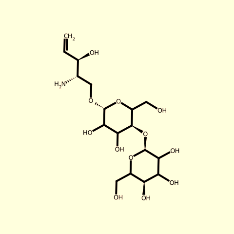 C=C[C@@H](O)[C@@H](N)CO[C@@H]1OC(CO)[C@@H](O[C@@H]2OC(CO)[C@H](O)C(O)C2O)C(O)C1O